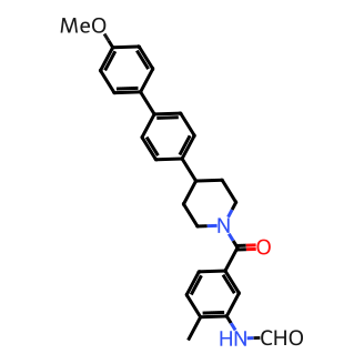 COc1ccc(-c2ccc(C3CCN(C(=O)c4ccc(C)c(NC=O)c4)CC3)cc2)cc1